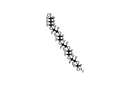 [CH2]C(F)(F)OC(F)(F)C(F)(F)OC(F)(F)C(F)(F)OC(F)(F)C(F)(F)OC(F)(F)C(F)(F)OC(F)(F)C(F)(F)OC(F)(F)C(F)(F)C(F)(F)C(F)(F)F